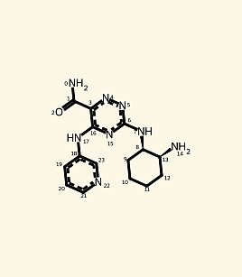 NC(=O)c1nnc(N[C@@H]2CCCC[C@@H]2N)nc1Nc1cccnc1